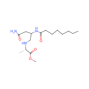 CCCCCCCC(=O)NC(CN[C@@H](C)C(=O)OC)CC(N)=O